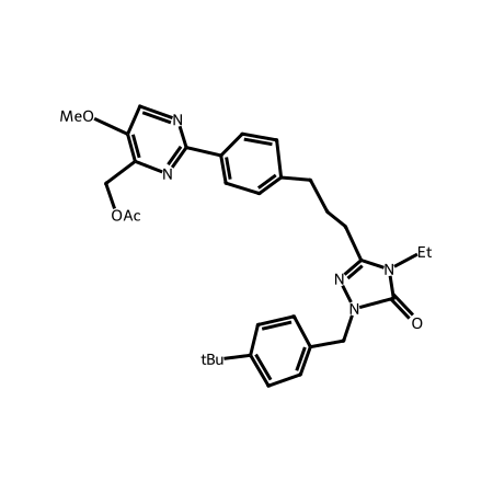 CCn1c(CCCc2ccc(-c3ncc(OC)c(COC(C)=O)n3)cc2)nn(Cc2ccc(C(C)(C)C)cc2)c1=O